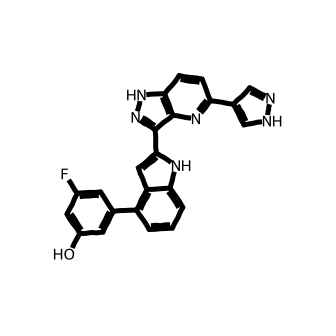 Oc1cc(F)cc(-c2cccc3[nH]c(-c4n[nH]c5ccc(-c6cn[nH]c6)nc45)cc23)c1